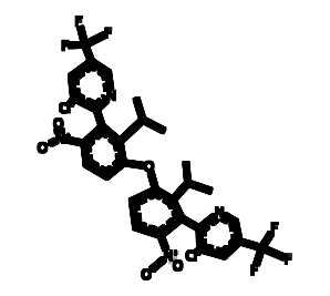 CC(C)c1c(Oc2ccc([N+](=O)[O-])c(-c3ncc(C(F)(F)F)cc3Cl)c2C(C)C)ccc([N+](=O)[O-])c1-c1ncc(C(F)(F)F)cc1Cl